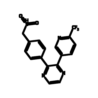 O=[SH](=O)Cc1ccc(-c2nccnc2-c2ccc(C(F)(F)F)nc2)cc1